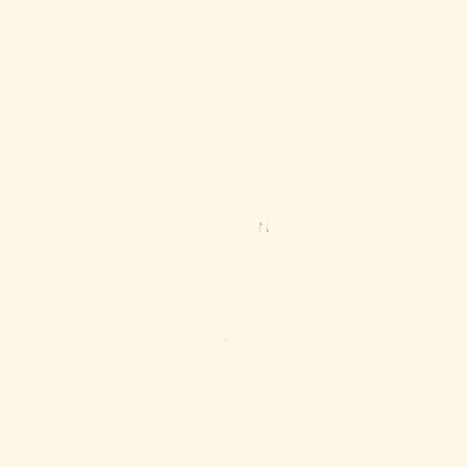 CC1(C)c2ccccc2-c2ccc(N(c3ccc(-c4ccccc4)cc3)c3ccc(-c4ccc5sc6ccccc6c5c4)cc3)cc21